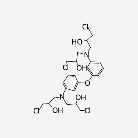 OC(CCl)CN(CC(O)CCl)c1cccc(Oc2cccc(N(CC(O)CCl)CC(O)CCl)c2)c1